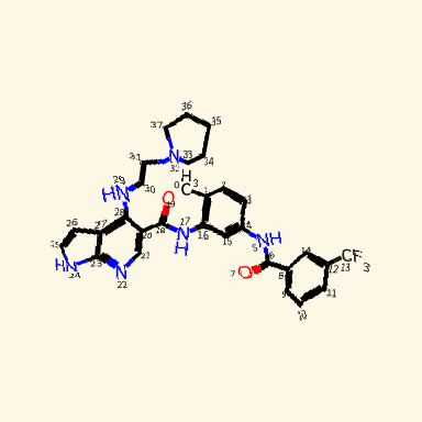 Cc1ccc(NC(=O)c2cccc(C(F)(F)F)c2)cc1NC(=O)c1cnc2[nH]ccc2c1NCCN1CCCCC1